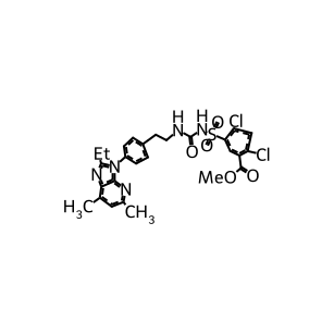 CCc1nc2c(C)cc(C)nc2n1-c1ccc(CCNC(=O)NS(=O)(=O)c2cc(C(=O)OC)c(Cl)cc2Cl)cc1